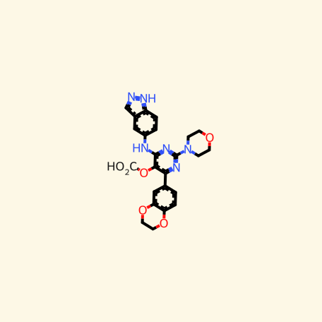 O=C(O)Oc1c(Nc2ccc3[nH]ncc3c2)nc(N2CCOCC2)nc1-c1ccc2c(c1)OCCO2